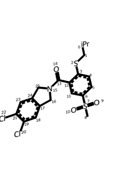 CC(C)CSc1ccc(S(C)(=O)=O)cc1C(=O)N1Cc2cc(Cl)c(Cl)cc2C1